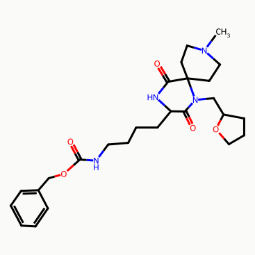 CN1CCC2(CC1)C(=O)NC(CCCCNC(=O)OCc1ccccc1)C(=O)N2CC1CCCO1